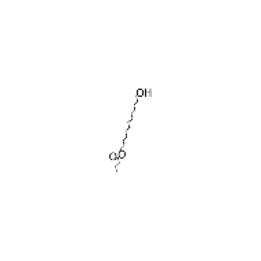 CCCC(=O)OCCCCCCCCCCCCCO